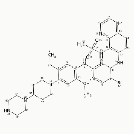 CCc1cc(Nc2ncc(Br)c(Nc3ccc4nccnc4c3NS(C)(=O)=O)n2)c(OC)cc1N1CCC(N2CCNCC2)CC1